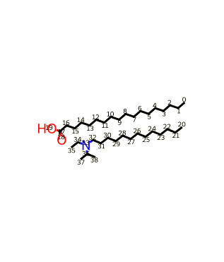 CCCCCCCCCCCCCCCCCC(=O)O.CCCCCCCCCCCCCN(CC)C(C)C